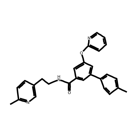 Cc1ccc(-c2cc(Oc3ccccn3)cc(C(=O)NCCc3ccc(C)nc3)c2)cc1